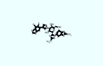 Cc1nc([C@@H]2O[C@H](CO)[C@H](O)[C@H](n3cc(-c4cc5scnc5c(F)c4F)cn3)[C@H]2O)n(-c2ccc3nc(C)sc3c2)n1